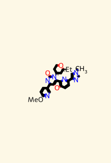 CC[C@H]1C[C@@H](n2c(=O)nc(-c3ccc(OC)nc3)c3oc4ccc(-c5cn(C)cn5)nc4c32)CCO1